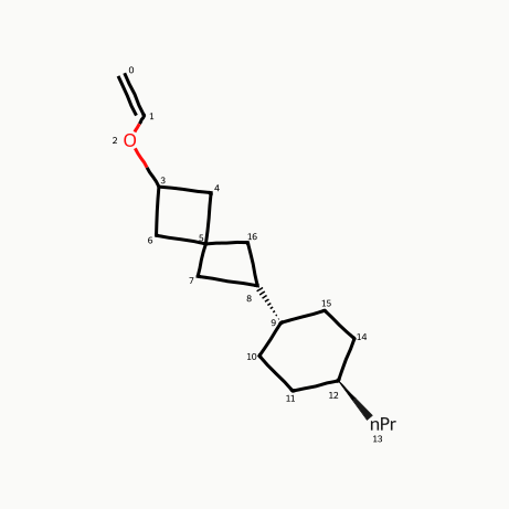 C=COC1CC2(C1)CC([C@H]1CC[C@H](CCC)CC1)C2